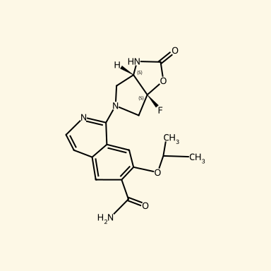 CC(C)Oc1cc2c(N3C[C@@H]4NC(=O)O[C@]4(F)C3)nccc2cc1C(N)=O